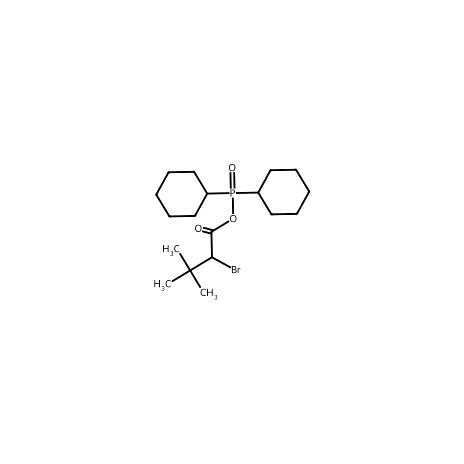 CC(C)(C)C(Br)C(=O)OP(=O)(C1CCCCC1)C1CCCCC1